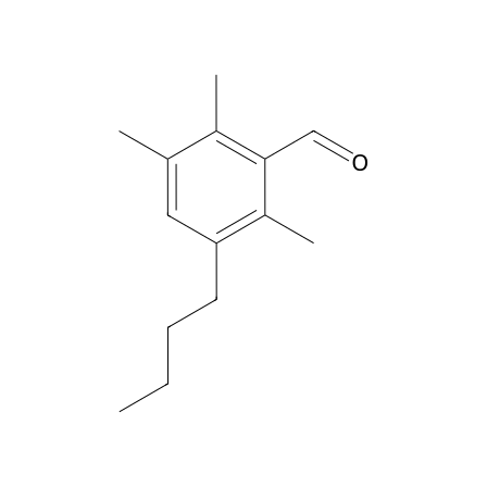 CCCCc1cc(C)c(C)c(C=O)c1C